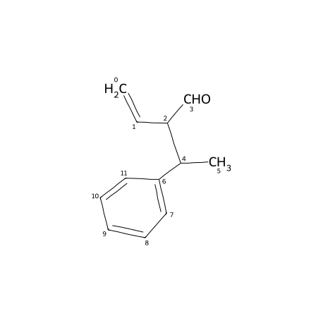 C=CC(C=O)C(C)c1ccccc1